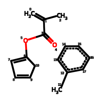 C=C(C)C(=O)OC1=CC=CC1.Cc1ccccc1